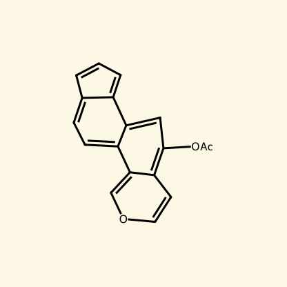 CC(=O)Oc1cc2c3cccc3ccc2c2coccc12